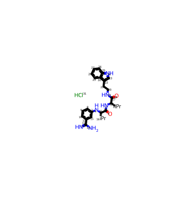 CC(C)C(NC(=O)C(Nc1cccc(C(=N)N)c1)C(C)C)C(=O)NCCc1c[nH]c2ccccc12.Cl